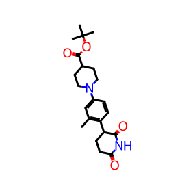 Cc1cc(N2CCC(C(=O)OC(C)(C)C)CC2)ccc1C1CCC(=O)NC1=O